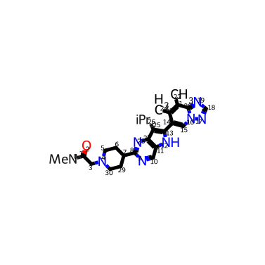 CNC(=O)CN1CCC(c2ncc3[nH]c(-c4cn5ncnc5c(C)c4C)c(C(C)C)c3n2)CC1